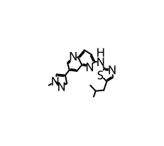 CC(C)Cc1cnc(Nc2ccc3ncc(-c4cnn(C)c4)cc3n2)s1